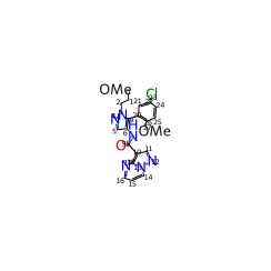 COCCn1ncc(NC(=O)c2cnn3cccnc23)c1-c1cc(Cl)ccc1OC